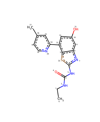 CCNC(=O)Nc1nc2cc(O)cc(-c3cc(C)ccn3)c2s1